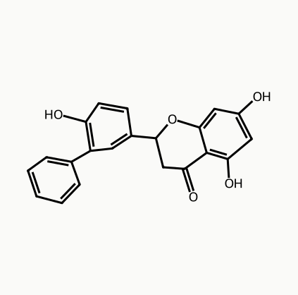 O=C1CC(c2ccc(O)c(-c3ccccc3)c2)Oc2cc(O)cc(O)c21